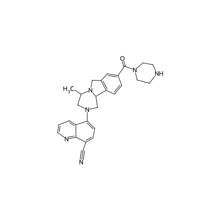 CC1CN(c2ccc(C#N)c3ncccc23)CC2c3ccc(C(=O)N4CCNCC4)cc3CN12